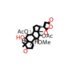 CO[C@H]1[C@@H]2[C@@]3(C)C=CC(=O)C(C)(C)[C@@H]3[C@@H](O)[C@@H](OC(C)=O)[C@@]2(C)C2=CC[C@@H](C3=CC(=O)OC3=O)[C@]2(C)[C@H]1OC(C)=O